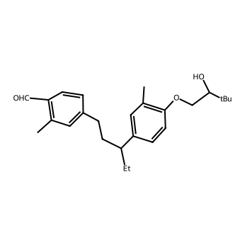 CCC(CCc1ccc(C=O)c(C)c1)c1ccc(OCC(O)C(C)(C)C)c(C)c1